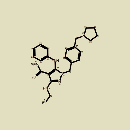 CNC(=O)c1c(NCC(C)C)nn(Cc2ccc(CN3CCCC3)cc2)c1Nc1ccccc1